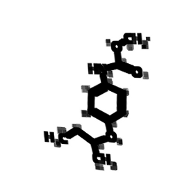 [CH2]OC(=O)Nc1ccc(OC(C)CC)cc1